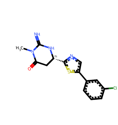 CN1C(=N)N[C@H](c2ncc(-c3cccc(Cl)c3)s2)CC1=O